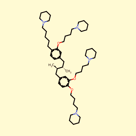 C[C@H](Cc1ccc(OCCCCN2CCCCC2)c(OCCCCN2CCCCC2)c1)[C@@H](C)Cc1ccc(CCCCCN2CCCCC2)c(OCCCCN2CCCCC2)c1